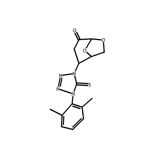 Cc1cccc(C)c1-n1nnn(C2CC(=O)C3OCC2O3)c1=S